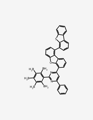 Bc1c(B)c(B)c(-c2nc(-c3ccccc3)cc(-c3cccc4c3oc3cccc(-c5cccc6c5sc5ccccc56)c34)n2)c(B)c1B